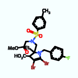 CCC1(CN(CC(=O)OC)S(=O)(=O)c2ccc(C)cc2)C(C(=O)O)C(Br)=C(Br)N1Cc1ccc(F)cc1